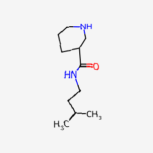 CC(C)CCNC(=O)C1CCCNC1